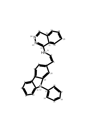 C(=C/c1ccc2c3ccccc3n(-c3ccccc3)c2c1)/Nc1nncc2ccccc12